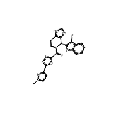 Cn1ccc(-c2nnc(C(=O)N3CCc4[nH]cnc4[C@H]3c3oc4ccccc4c3F)o2)n1